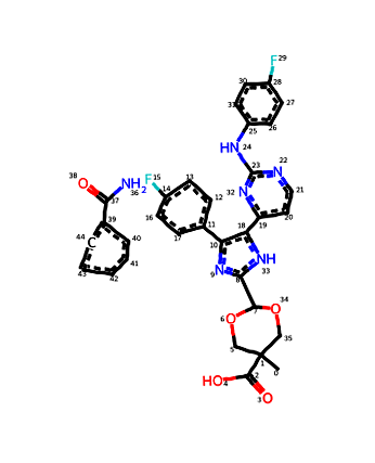 CC1(C(=O)O)COC(c2nc(-c3ccc(F)cc3)c(-c3ccnc(Nc4ccc(F)cc4)n3)[nH]2)OC1.NC(=O)c1ccccc1